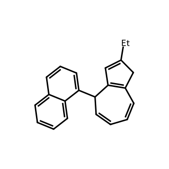 CCC1=CC2=C(C=CC=CC2c2cccc3ccccc23)C1